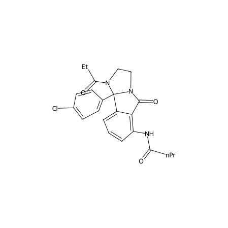 CCCC(=O)Nc1cccc2c1C(=O)N1CCN(C(=O)CC)C21c1ccc(Cl)cc1